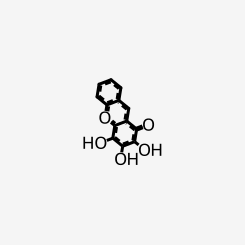 O=c1c2cc3ccccc3oc-2c(O)c(O)c1O